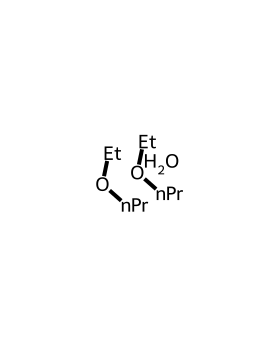 CCCOCC.CCCOCC.O